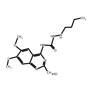 CCCCNNC(=O)Nc1nc(C)nc2cc(OC)c(OC)cc12.Cl